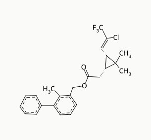 Cc1c(COC(=O)C[C@@H]2[C@H](/C=C(\Cl)C(F)(F)F)C2(C)C)cccc1-c1ccccc1